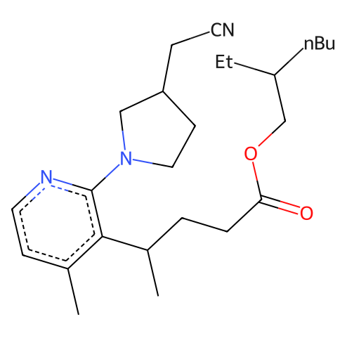 CCCCC(CC)COC(=O)CCC(C)c1c(C)ccnc1N1CCC(CC#N)C1